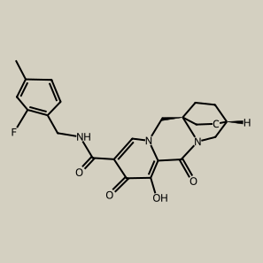 Cc1ccc(CNC(=O)c2cn3c(c(O)c2=O)C(=O)N2C[C@H]4CC[C@@]2(CC4)C3)c(F)c1